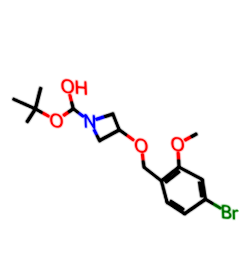 COc1cc(Br)ccc1COC1CN(C(O)OC(C)(C)C)C1